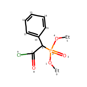 CCOP(=O)(OCC)C(C(=O)Cl)c1ccccc1